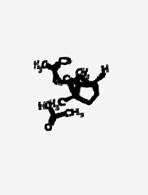 CC(=O)O.CC(=O)O[C@H]1C[C@@H]2CC[C@@]1(C)C2(C)C